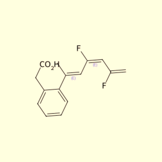 C=C(F)/C=C(F)\C=C(/C)c1ccccc1CC(=O)O